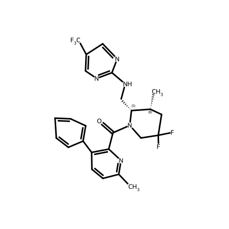 Cc1ccc(-c2ccccc2)c(C(=O)N2CC(F)(F)C[C@@H](C)[C@H]2CNc2ncc(C(F)(F)F)cn2)n1